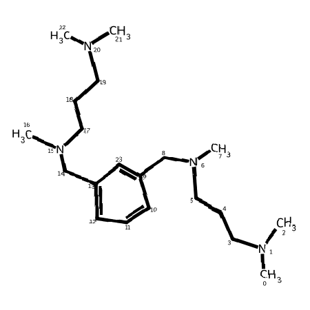 CN(C)CCCN(C)Cc1cccc(CN(C)CCCN(C)C)c1